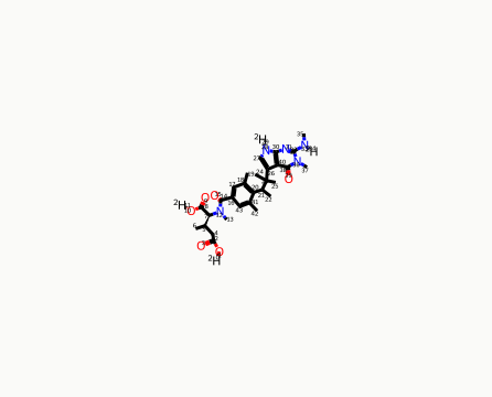 [2H]OC(=O)CC(C)[C@@H](C(=O)O[2H])N(C)C(=O)c1cc(C)c(C(C)C(C)(C)c2cn([2H])c3nc(N([2H])C)n(C)c(=O)c23)c(C)c1